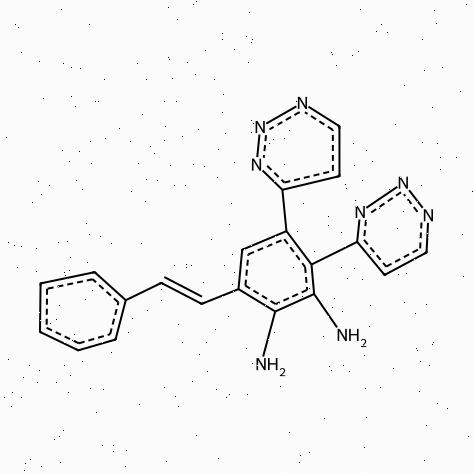 Nc1c(C=Cc2ccccc2)cc(-c2ccnnn2)c(-c2ccnnn2)c1N